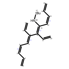 C=C\C=C/C=C(C=C)/C(C=C)=C(/C=C\C=C)NC(C)(C)C